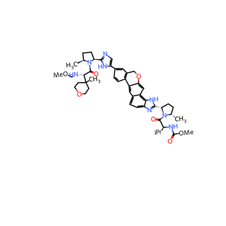 COCN[C@H](C(=O)N1[C@@H](C)CC[C@H]1c1ncc(-c2ccc3c(c2)COc2cc4c(ccc5nc([C@@H]6CC[C@H](C)N6C(=O)[C@@H](NC(=O)OC)C(C)C)[nH]c54)cc2-3)[nH]1)C1(C)CCOCC1